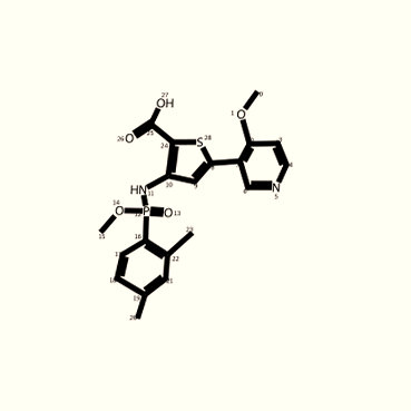 COc1ccncc1-c1cc(NP(=O)(OC)c2ccc(C)cc2C)c(C(=O)O)s1